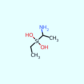 CC[Si](O)(O)C(C)N